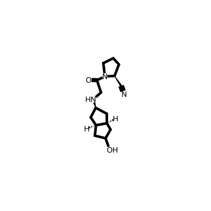 N#C[C@@H]1CCCN1C(=O)CN[C@H]1C[C@H]2CC(O)C[C@H]2C1